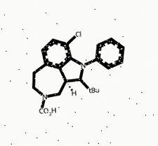 CC(C)(C)C1[C@H]2CN(C(=O)O)CCc3ccc(Cl)c(c32)N1c1ccccc1